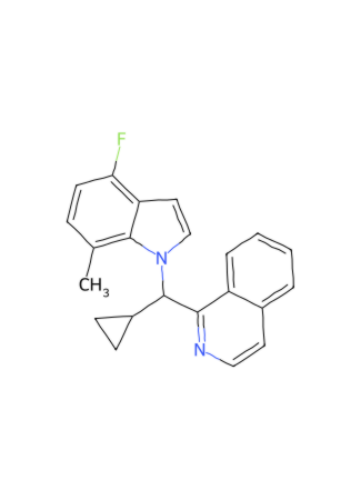 Cc1ccc(F)c2ccn(C(c3nccc4ccccc34)C3CC3)c12